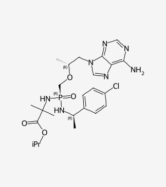 CC(C)OC(=O)C(C)(C)N[P@@](=O)(CO[C@H](C)Cn1cnc2c(N)ncnc21)N[C@H](C)c1ccc(Cl)cc1